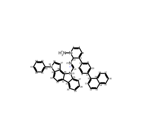 NN1C=CC=C(c2ccc(-c3cccc4ccccc34)cc2)C1/N=C/n1c2ccccc2c2ccc3c(ccn3-c3ccccc3)c21